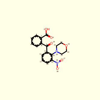 O=C(O)c1ccccc1C(=O)c1cccc([N+](=O)[O-])c1N1CCOCC1